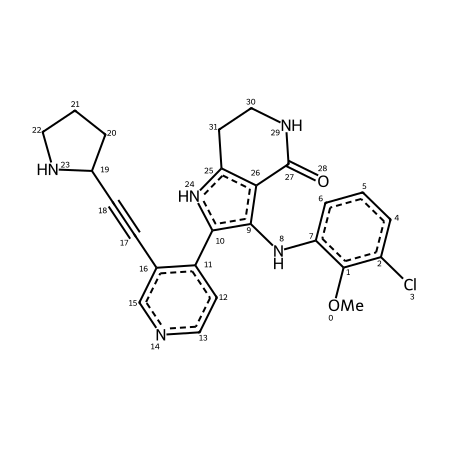 COc1c(Cl)cccc1Nc1c(-c2ccncc2C#CC2CCCN2)[nH]c2c1C(=O)NCC2